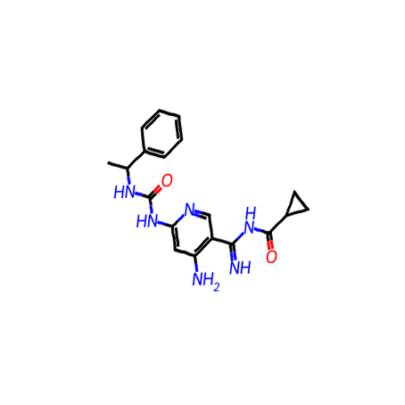 CC(NC(=O)Nc1cc(N)c(C(=N)NC(=O)C2CC2)cn1)c1ccccc1